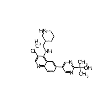 C[C@@H](Nc1c(Cl)cnc2ccc(-c3cnc(C(C)(C)O)nc3)cc12)C1CCCNC1